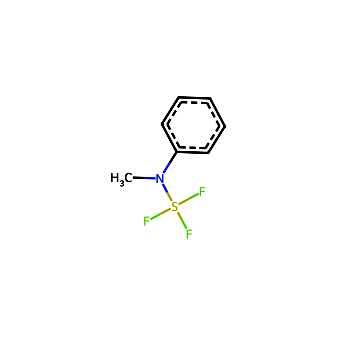 CN(c1ccccc1)S(F)(F)F